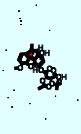 COc1ccc2c3c1O[C@H]1C(OC(=O)[C@@H](OC(C)=O)[C@H](OC(C)=O)C(=O)O)=CC[C@@]4(O)[C@@H](C2)N(C)CC[C@]314